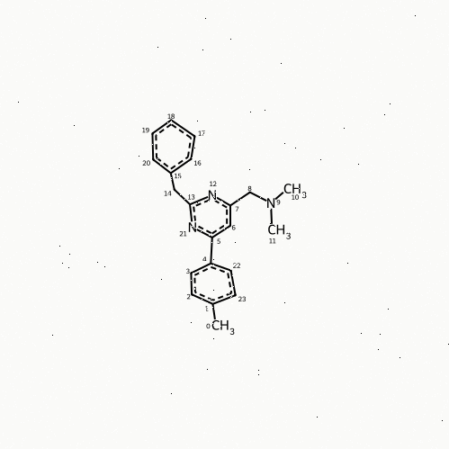 Cc1ccc(-c2cc(CN(C)C)nc(Cc3ccccc3)n2)cc1